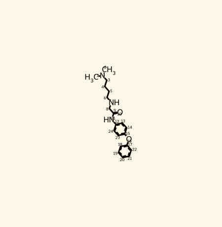 CN(C)CCCCNCC(=O)Nc1ccc(Oc2ccccc2)cc1